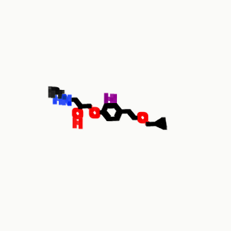 CC(C)NCC(O)COc1ccc(CCOCC2CC2)cc1.I